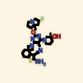 Cc1c(N2CC3(CCCc4sc(N)c(C#N)c43)C2)nc(OC[C@@]23CCCN2C[C@H](F)C3)nc1N1CCC[C@@](C)(O)C1